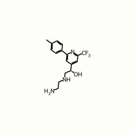 Cc1ccc(-c2cc([C@@H](O)CNCCN)cc(C(F)(F)F)n2)cc1